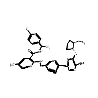 CC(NC(=O)c1cc(C#N)cnc1NCc1ccc(-c2cnc(N)c(O[C@@H]3CCC[C@H]3N)n2)cc1)c1ccc(F)cc1